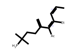 C=C(CCC(C)(C)P)/C(C(C)=O)=C(\C=C/C)CC